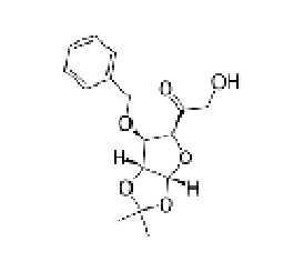 CC1(C)O[C@H]2O[C@H](C(=O)CO)[C@H](OCc3ccccc3)[C@H]2O1